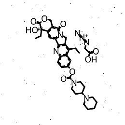 CCc1c2c(nc3ccc(OC(=O)N4CCC(N5CCCCC5)CC4)cc13)-c1cc3c(c(=O)n1C2)COC(=O)[C@]3(O)CC.[N-]=[N+]=NCC(=O)O